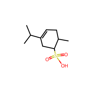 CC(C)C1=CCC(C)C(S(=O)(=O)O)C1